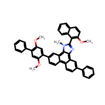 COc1cc(-c2ccc3c4ccc(-c5ccccc5)cc4c4nc(-c5c(OC)ccc6ccccc56)n(C)c4c3c2)c(OC)cc1-c1ccccc1